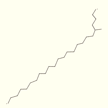 [CH2]CCCCCCCCCCCCCCCCCCC(C)CCC[CH2]